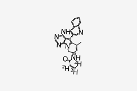 [2H]C([2H])=C([2H])C(=O)N[C@H]1C=C(C)c2c(-c3cnc4ccccc4c3)c3c(N)ncnc3n2C1